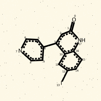 O=c1cc(-c2ccncc2)c2cc(I)ccc2[nH]1